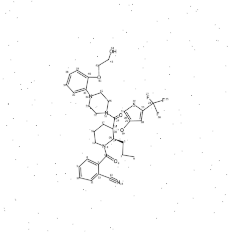 CCC[C@H]1N(C(=O)c2ccccc2C#N)CCC[C@@]1(Oc1csc(C(F)(F)F)c1)C(=O)N1CCN(c2ccccc2OCCO)CC1